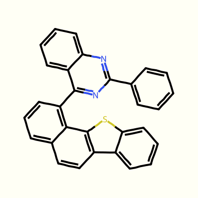 c1ccc(-c2nc(-c3cccc4ccc5c6ccccc6sc5c34)c3ccccc3n2)cc1